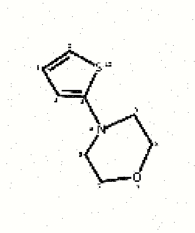 [c]1ccc(N2CCOCC2)s1